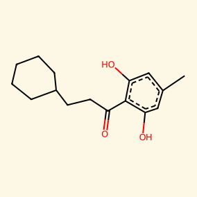 Cc1cc(O)c(C(=O)CCC2CCCCC2)c(O)c1